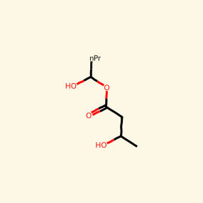 CCCC(O)OC(=O)CC(C)O